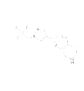 FC(F)(F)Cn1cc(-c2cnc3c(c2)CNCC3)cn1